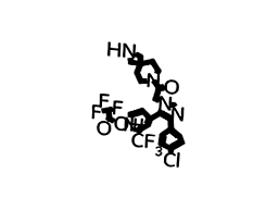 O=C(Cn1cnc(-c2ccc(Cl)cc2)c1-c1ccnc(C(F)(F)F)c1)N1CCC2(CC1)CNC2.O=C(O)C(F)(F)F